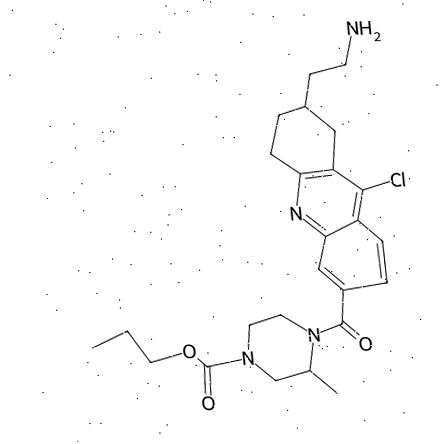 CCCOC(=O)N1CCN(C(=O)c2ccc3c(Cl)c4c(nc3c2)CCC(CCN)C4)C(C)C1